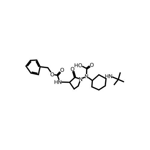 CC(C)(C)N[C@@H]1CCCC(N(C(=O)O)N2CCC(NC(=O)OCc3ccccc3)C2=O)C1